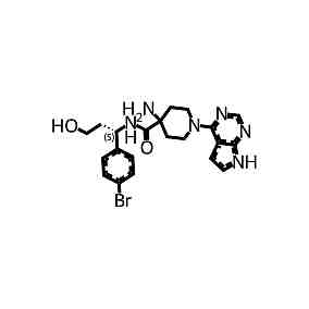 NC1(C(=O)N[C@@H](CCO)c2ccc(Br)cc2)CCN(c2ncnc3[nH]ccc23)CC1